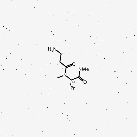 CNC(=O)[C@H](C(C)C)N(C)C(=O)CCN